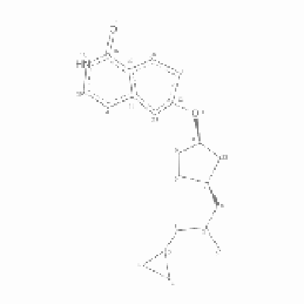 CC(CC1CC1)C[C@H]1CC[C@@H](Oc2ccc3c(=O)[nH]ccc3c2)C1